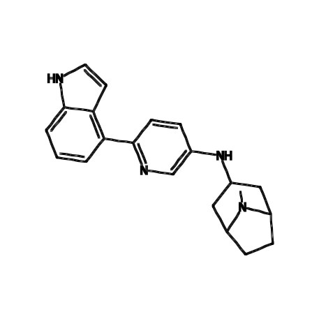 CN1C2CCC1CC(Nc1ccc(-c3cccc4[nH]ccc34)nc1)C2